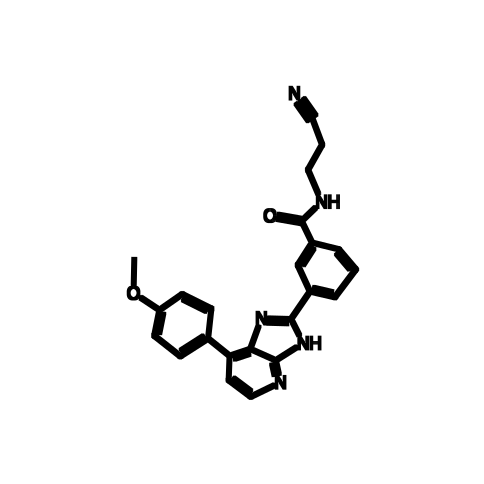 COc1ccc(-c2ccnc3[nH]c(-c4cccc(C(=O)NCCC#N)c4)nc23)cc1